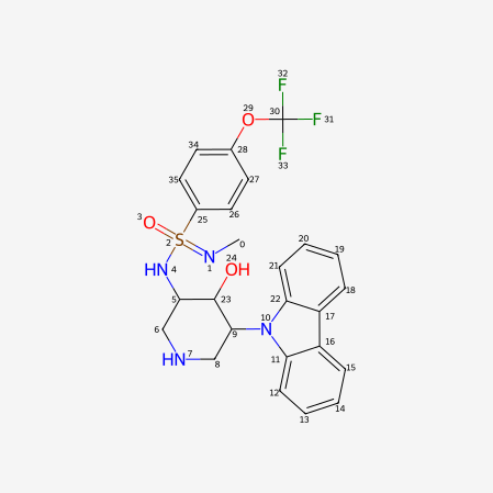 CN=S(=O)(NC1CNCC(n2c3ccccc3c3ccccc32)C1O)c1ccc(OC(F)(F)F)cc1